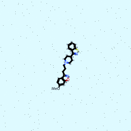 COc1ccc2c(CCCN3CCC(c4nsc5ccccc45)CC3)noc2c1